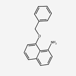 Nc1cccc2cccc(OCc3ccccc3)c12